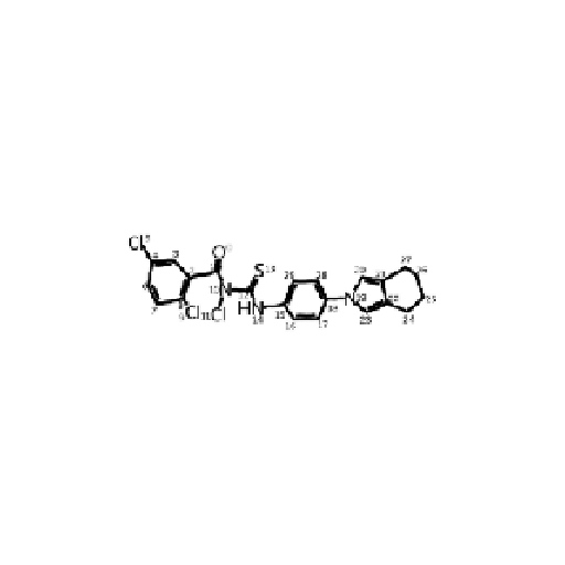 O=C(c1cc(Cl)ccc1Cl)N(Cl)C(=S)Nc1ccc(-n2cc3c(c2)CCCC3)cc1